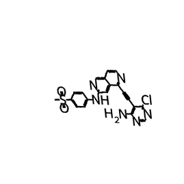 CS(=O)(=O)c1ccc(Nc2cc3c(C#Cc4c(N)ncnc4Cl)nccc3cn2)cc1